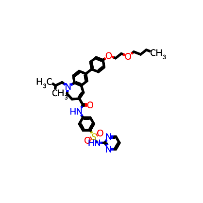 CCCCOCCOc1ccc(-c2ccc3c(c2)C=C(C(=O)Nc2ccc(S(=O)(=O)Nc4ncccn4)cc2)CCN3CC(C)C)cc1